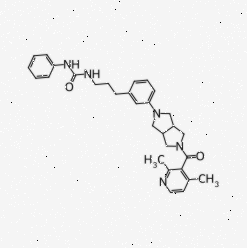 Cc1ccnc(C)c1C(=O)N1CC2CN(c3cccc(CCCNC(=O)Nc4ccccc4)c3)CC2C1